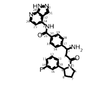 NC(CC(=O)N1CCCC1c1cccc(F)c1)c1ccc(C(=O)Nc2ccnc3[nH]ncc23)cc1